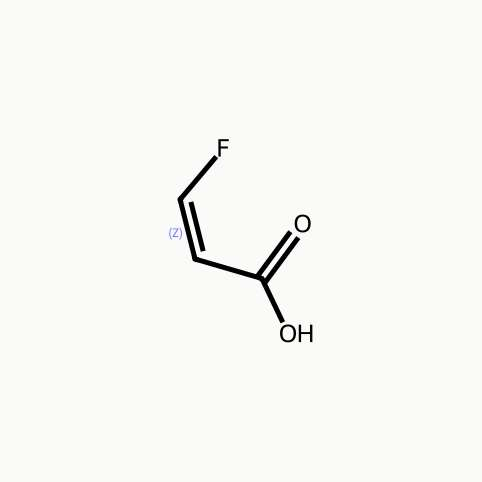 O=C(O)/C=C\F